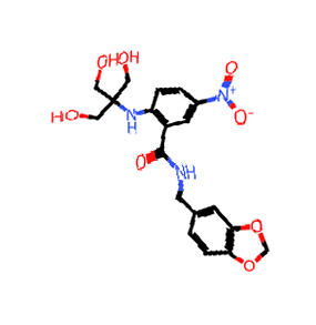 O=C(NCc1ccc2c(c1)OCO2)c1cc([N+](=O)[O-])ccc1NC(CO)(CO)CO